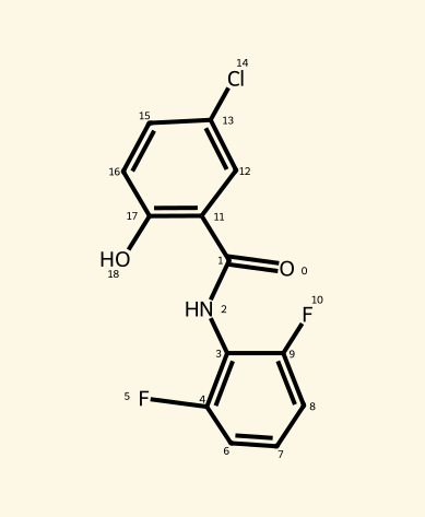 O=C(Nc1c(F)cccc1F)c1cc(Cl)ccc1O